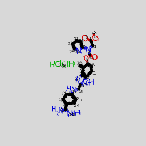 COC(=O)CN(C(=O)Oc1ccc2[nH]c(CNc3ccc(C(=N)N)cc3)nc2c1C)c1ccccn1.Cl.Cl